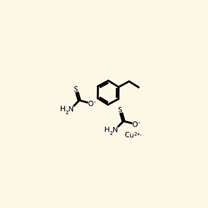 CCc1ccccc1.NC([O-])=S.NC([O-])=S.[Cu+2]